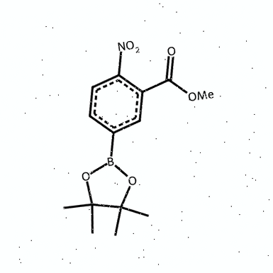 COC(=O)c1cc(B2OC(C)(C)C(C)(C)O2)ccc1[N+](=O)[O-]